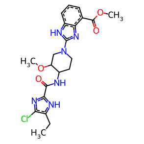 CCc1[nH]c(C(=O)NC2CCN(c3nc4c(C(=O)OC)cccc4[nH]3)CC2OC)nc1Cl